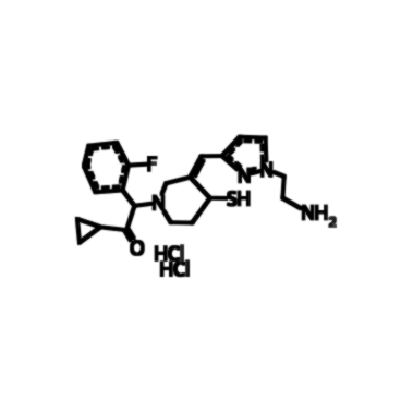 Cl.Cl.NCCn1ccc(C=C2CN(C(C(=O)C3CC3)c3ccccc3F)CCC2S)n1